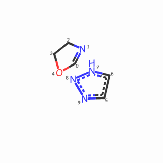 C1=NCCO1.c1c[nH]nn1